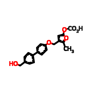 Cc1oc(OC(=O)O)cc1COc1ccc(-c2ccc(CO)cc2)cc1